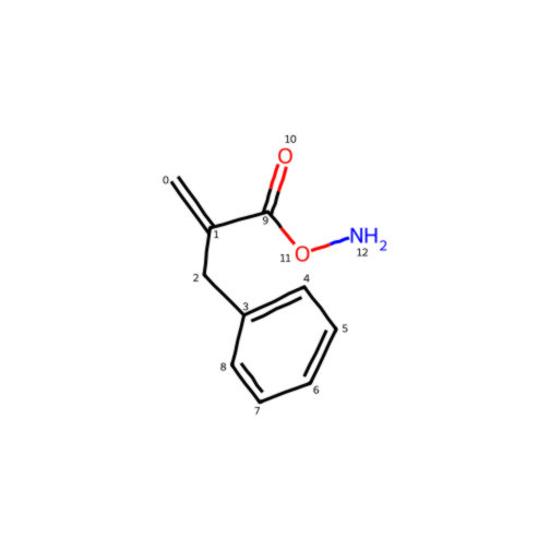 C=C(Cc1ccccc1)C(=O)ON